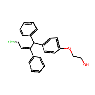 OCCOc1ccc(C(/C(=C\CCl)c2ccccc2)c2ccccc2)cc1